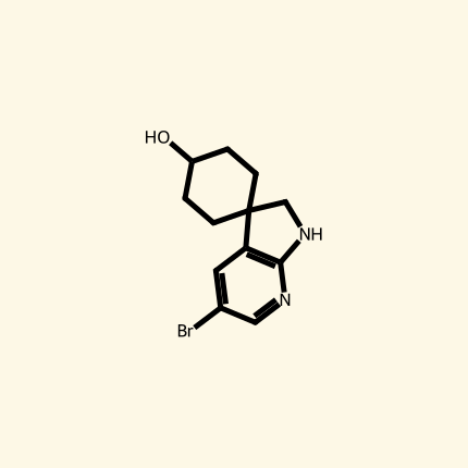 OC1CCC2(CC1)CNc1ncc(Br)cc12